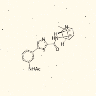 CC(=O)Nc1cccc(-c2cnc(C(=O)N[C@@H]3C4CCN(CC4)[C@H]3C)s2)c1